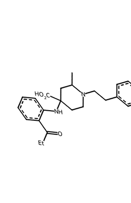 CCC(=O)c1ccccc1NC1(C(=O)O)CCN(CCc2ccccc2)C(C)C1